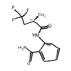 C[C@H](CC(F)(F)F)C(=O)Nc1ccccc1C(N)=O